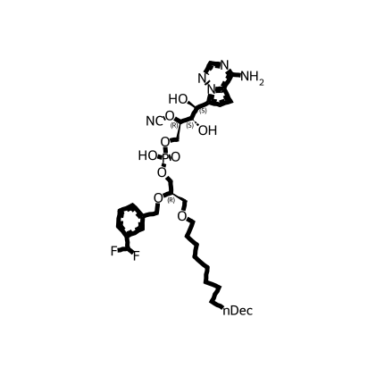 CCCCCCCCCCCCCCCCCCOC[C@H](COP(=O)(O)OC[C@@H](OC#N)[C@@H](O)[C@@H](O)c1ccc2c(N)ncnn12)OCc1cccc(C(F)F)c1